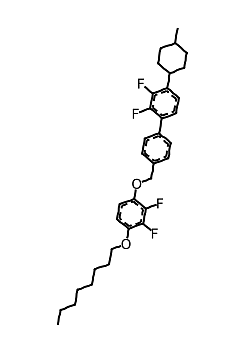 CCCCCCCCOc1ccc(OCc2ccc(-c3ccc(C4CCC(C)CC4)c(F)c3F)cc2)c(F)c1F